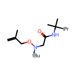 C=C(C)CON(CC(=O)NC(C)(C)C(C)C)C(C)(C)C